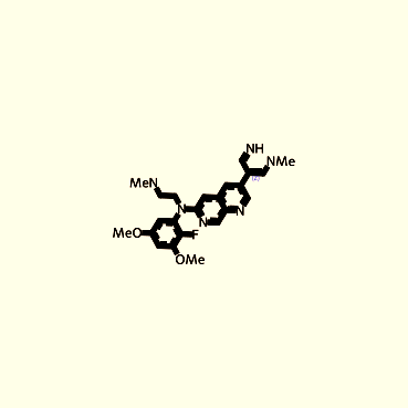 CN/C=C(\C=N)c1cnc2cnc(N(CCNC)c3cc(OC)cc(OC)c3F)cc2c1